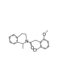 COc1cccc(Cl)c1CC(=O)N1CCc2ccccc2C1C